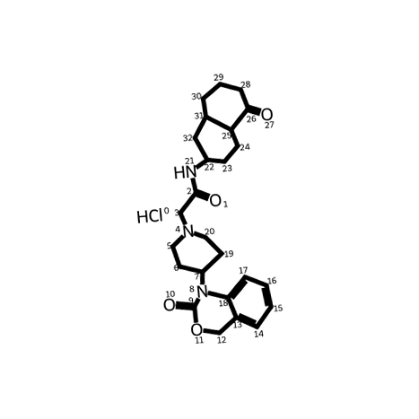 Cl.O=C(CN1CCC(N2C(=O)OCc3ccccc32)CC1)NC1CCC2C(=O)CCCC2C1